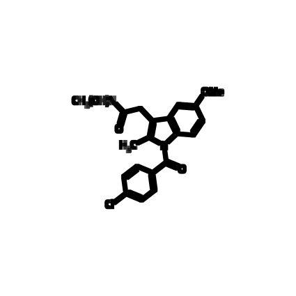 COc1ccc2c(c1)c(CC(=O)N(C)O)c(C)n2C(=O)c1ccc(Cl)cc1